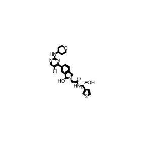 O=C(CN1Cc2ccc(-c3nc(NC4CCOCC4)ncc3Cl)cc2C1O)N[C@H](CO)c1ccsc1